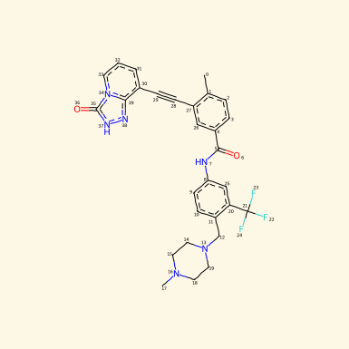 Cc1ccc(C(=O)Nc2ccc(CN3CCN(C)CC3)c(C(F)(F)F)c2)cc1C#Cc1cccn2c(=O)[nH]nc12